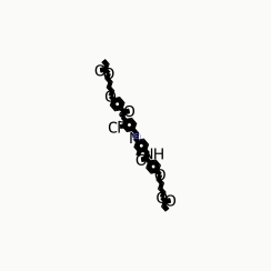 C=CC(=O)OCCCCOc1ccc(C(=O)Nc2ccc(/N=C/c3ccc(SC(=O)c4ccc(OCCCCOC(=O)C=C)cc4)c(Cl)c3)cc2C)cc1